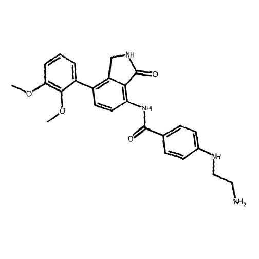 COc1cccc(-c2ccc(NC(=O)c3ccc(NCCN)cc3)c3c2CNC3=O)c1OC